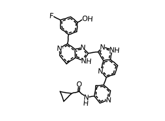 O=C(Nc1cncc(-c2ccc3[nH]nc(-c4nc5c(-c6cc(O)cc(F)c6)nccc5[nH]4)c3n2)c1)C1CC1